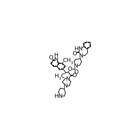 Cc1cc(C(C)C(OC(=O)N2CCC(N3CCc4ccccc4NC3=O)CC2)C(=O)N2CCN(C3CCNCC3)CC2)cc2ccc(=O)[nH]c12